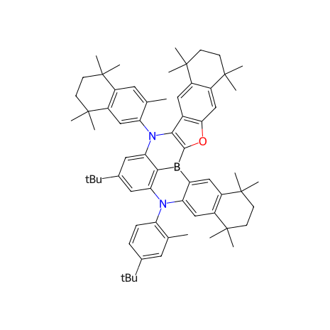 Cc1cc(C(C)(C)C)ccc1N1c2cc3c(cc2B2c4oc5cc6c(cc5c4N(c4cc5c(cc4C)C(C)(C)CCC5(C)C)c4cc(C(C)(C)C)cc1c42)C(C)(C)CCC6(C)C)C(C)(C)CCC3(C)C